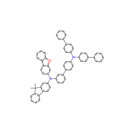 CC1(C)c2ccccc2-c2ccc(N(c3cccc(-c4ccc(N(c5ccc(-c6ccccc6)cc5)c5ccc(-c6ccccc6)cc5)cc4)c3)c3ccc4c(c3)oc3ccccc34)cc21